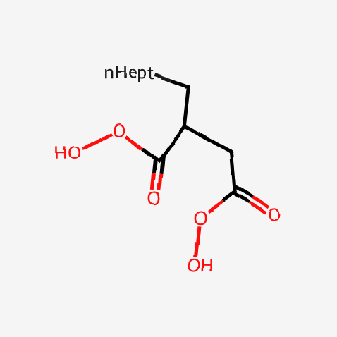 CCCCCCCCC(CC(=O)OO)C(=O)OO